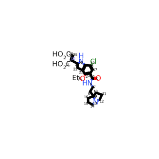 CCOc1c(C(=O)NCCC23CCCN2CCC3)cc(Cl)c2c1CC(/C(=C/C(=O)O)C(=O)O)N2